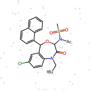 CC(=O)N(C1OC(c2cccc3ccccc23)c2cc(Cl)ccc2N(CC(C)(C)C)C1=O)S(C)(=O)=O